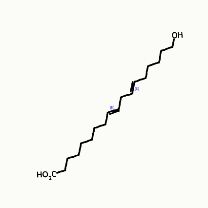 O=C(O)CCCCCCC/C=C/C/C=C/CCCCCO